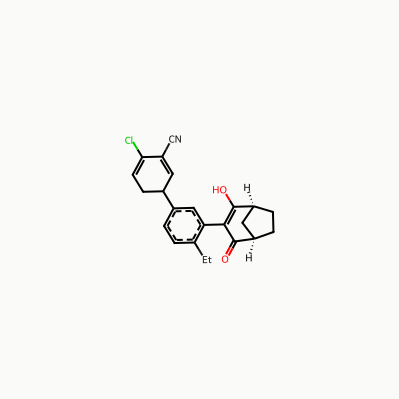 CCc1ccc(C2C=C(C#N)C(Cl)=CC2)cc1C1=C(O)[C@H]2CC[C@H](C2)C1=O